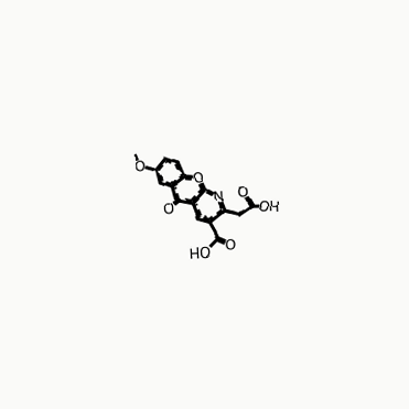 COc1ccc2oc3nc(CC(=O)O)c(C(=O)O)cc3c(=O)c2c1